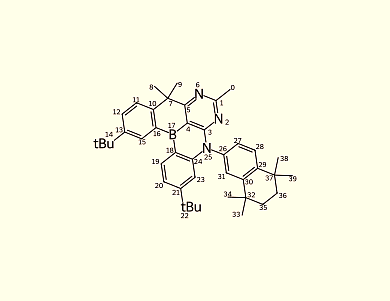 Cc1nc2c3c(n1)C(C)(C)c1ccc(C(C)(C)C)cc1B3c1ccc(C(C)(C)C)cc1N2c1ccc2c(c1)C(C)(C)CCC2(C)C